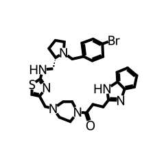 O=C(CCc1nc2ccccc2[nH]1)N1CCN(Cc2csc(NC[C@@H]3CCCN3Cc3ccc(Br)cc3)n2)CC1